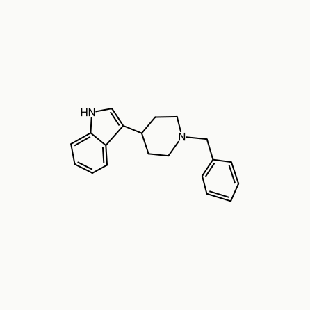 c1ccc(CN2CCC(c3c[nH]c4ccccc34)CC2)cc1